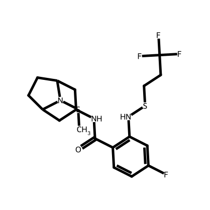 CSN1C2CCC1CC(NC(=O)c1ccc(F)cc1NSCCC(F)(F)F)C2